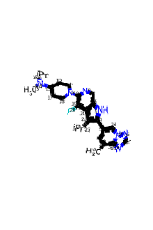 Cc1cc(-c2[nH]c3cnc(N4CCC(N(C)C(C)C)CC4)c(F)c3c2C(C)C)cn2ncnc12